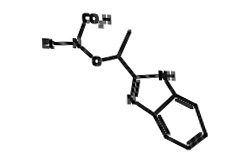 CCN(OC(C)c1nc2ccccc2[nH]1)C(=O)O